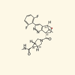 CNC(=O)[C@H]1[C@@H]2CN(C(=O)[C@]34CC[C@H](c5cc(-c6c(F)cccc6F)nnc53)C4(C)C)C[C@@H]21